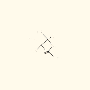 COC(=O)N[C@](N)(C(C)=O)[C@@](C)(N)OC